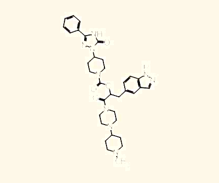 CN1CCC(N2CCN(C(=O)C(Cc3ccc4[nH]ncc4c3)OC(=O)N3CCC(n4nc(-c5ccccc5)[nH]c4=O)CC3)CC2)CC1